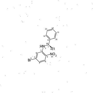 CC[C@@H](Nc1cc(Br)ccc1[N+](=O)[O-])c1ccccc1